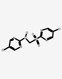 O=S(=O)(C[S+]([O-])c1ncc(Cl)cn1)c1ncc(Cl)cn1